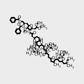 C=C=C(C)CC(CCC1OC(CCC(=O)/C=C/[C@H](O[Si](C)(C)C(C)(C)C)[C@@H]2O[C@H]3CC[C@H](CC(=O)C[C@H]4[C@H](CC(OC)OC)OC(C[C@H](COC(=O)c5ccccc5)OC(=O)c5ccccc5)[C@@H]4OC)O[C@@H]3[C@H](O)C2O[Si](C)(C)C(C)(C)C)CC1=C)O[Si](CC)(CC)CC